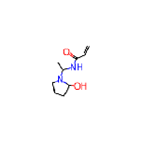 C=CC(=O)NC(C)N1CCCC1O